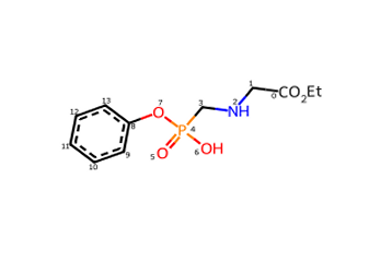 CCOC(=O)CNCP(=O)(O)Oc1ccccc1